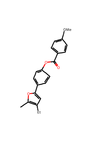 CCc1cc(-c2ccc(OC(=O)c3c[c]c(OC)cc3)cc2)oc1C